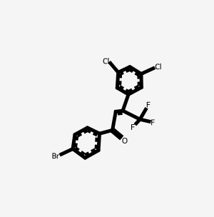 O=C(C=C(c1cc(Cl)cc(Cl)c1)C(F)(F)F)c1ccc(Br)cc1